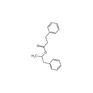 CC(Cc1ccccc1)OC(=O)CCc1ccccc1